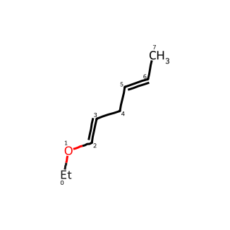 [CH2]COC=CCC=CC